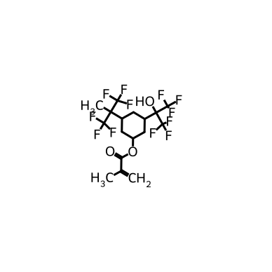 C=C(C)C(=O)OC1CC(C(C)(C(F)(F)F)C(F)(F)F)CC(C(O)(C(F)(F)F)C(F)(F)F)C1